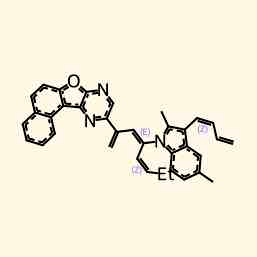 C=C/C=C\c1c(C)n(C(/C=C\CC)=C/C(=C)c2cnc3oc4ccc5ccccc5c4c3n2)c2ccc(C)cc12